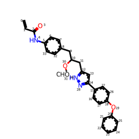 C=CC(=O)Nc1ccc(CC(Cc2cc(-c3ccc(Oc4ccccc4)cc3)n[nH]2)OC=O)cc1